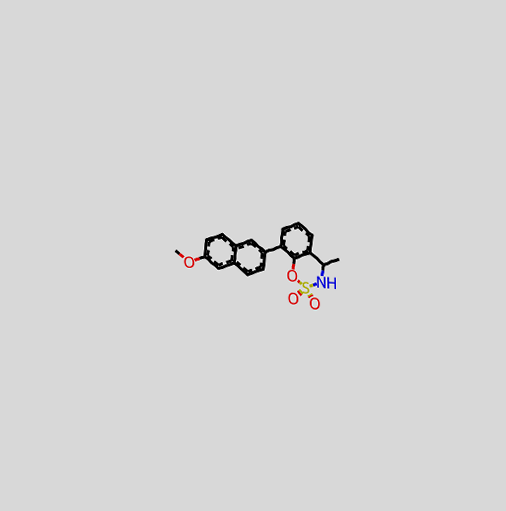 COc1ccc2cc(-c3cccc4c3OS(=O)(=O)NC4C)ccc2c1